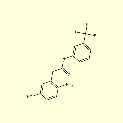 Nc1ccc(O)cc1CC(=O)Nc1cccc(C(F)(F)F)c1